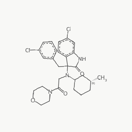 C[C@@H]1CCCC(N(CC(=O)N2CCOCC2)C2(Cc3cccc(Cl)c3)C(=O)Nc3cc(Cl)ccc32)C1